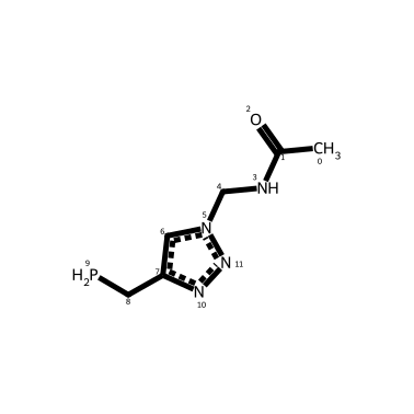 CC(=O)NCn1cc(CP)nn1